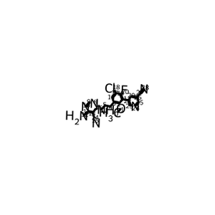 COc1c(CCNc2ncnc(N)c2C#N)cc(Cl)c(F)c1-c1cncc(C#N)c1